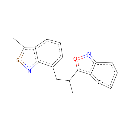 Cc1snc2c(CC(C)c3onc4ccccc34)cccc12